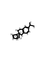 CC(C)c1ccc2c(c1)CCC1(C2)CC2C=CC1C2